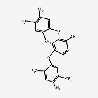 Nc1cc(C(F)(F)F)c(Oc2ccc(C(F)(F)F)c(Oc3cc(C(F)(F)F)c(N)cc3C(F)(F)F)c2)cc1C(F)(F)F